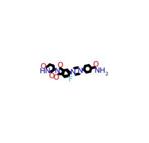 NC(=O)C1CCC(N2CCN(c3cc4c(cc3F)C(=O)N(C3CCC(=O)NC3=O)C4=O)CC2)CC1